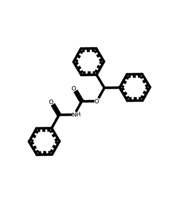 O=C(NC(=O)c1ccccc1)OC(c1ccccc1)c1ccccc1